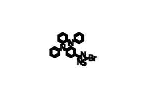 Brc1nc(-c2ccc3c(c2)N(c2ccccc2)c2ccccc2N3c2ccccc2)ns1